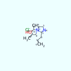 C=CCC1=NCC[N+]1(CC=C)C(C)O.[Cl-]